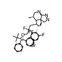 C[C@H]1CN=C2N=NCC23C=C[C@H](c2c(F)cc(Br)cc2F)C(CC(F)(F)CO[Si](c2ccccc2)(c2ccccc2)C(C)(C)C)C13